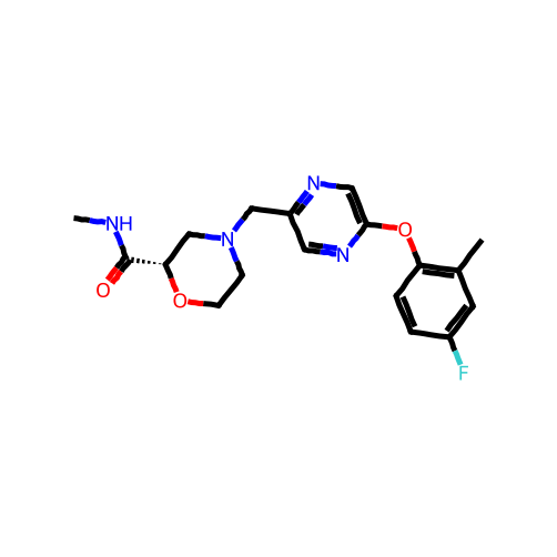 CNC(=O)[C@@H]1CN(Cc2cnc(Oc3ccc(F)cc3C)cn2)CCO1